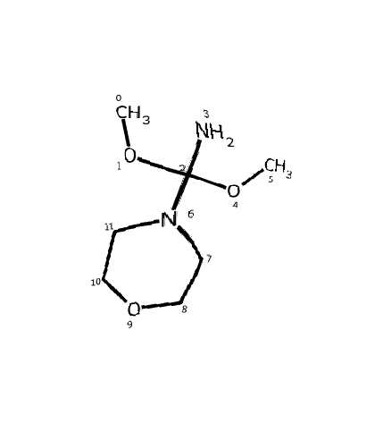 COC(N)(OC)N1CCOCC1